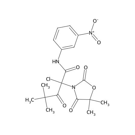 CC(C)(C)C(=O)C(Cl)(C(=O)Nc1cccc([N+](=O)[O-])c1)N1C(=O)OC(C)(C)C1=O